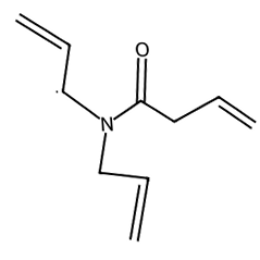 C=C[CH]N(CC=C)C(=O)CC=C